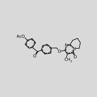 CC(=O)Oc1ccc(C(=O)c2ccc(COc3nc4n(c(=O)c3C)CCCC4)cc2)cc1